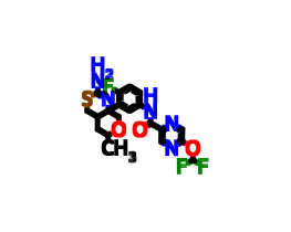 CC1CC2CSC(N)=NC2(c2cc(NC(=O)c3cnc(OC(F)F)cn3)ccc2F)CO1